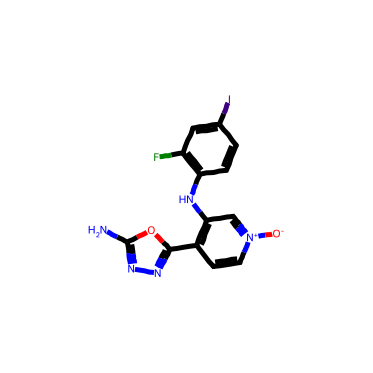 Nc1nnc(-c2cc[n+]([O-])cc2Nc2ccc(I)cc2F)o1